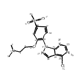 CN(C)CCOc1cc(S(C)(=O)=O)ccc1-n1ncc2c(Cl)ncnc21